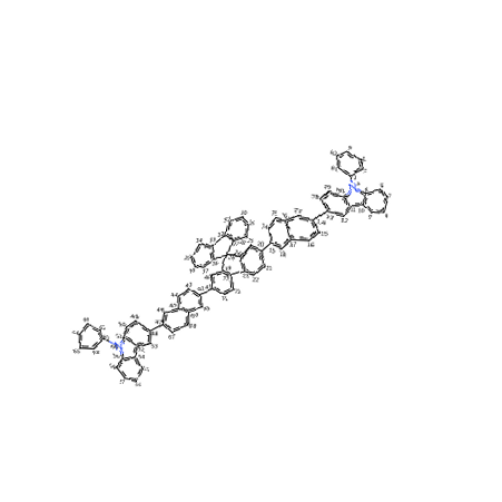 c1ccc(-n2c3ccccc3c3cc(-c4ccc5cc(-c6ccc7c(c6)C6(c8ccccc8-c8ccccc86)c6cc(-c8ccc9cc(-c%10ccc%11c(c%10)c%10ccccc%10n%11-c%10ccccc%10)ccc9c8)ccc6-7)ccc5c4)ccc32)cc1